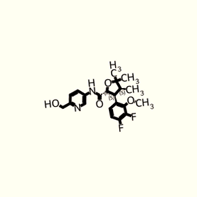 COc1c([C@H]2[C@H](C(=O)Nc3ccc(CO)nc3)OC(C)(C)[C@H]2C)ccc(F)c1F